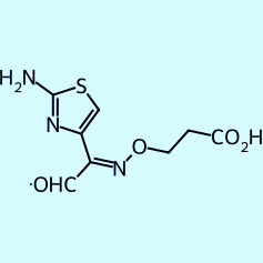 Nc1nc(/C([C]=O)=N\OCCC(=O)O)cs1